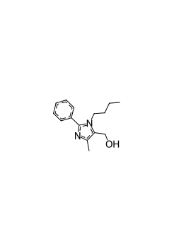 CCCCn1c(-c2ccccc2)nc(C)c1CO